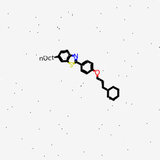 CCCCCCCCc1ccc2nc(-c3ccc(OCCCC4CCCCC4)cc3)sc2c1